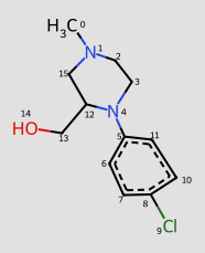 CN1CCN(c2ccc(Cl)cc2)C(CO)C1